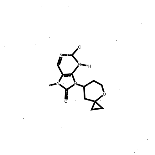 [2H]N1c2c(n(C)c(=O)n2C2CCOC3(CC3)C2)C=NC1Cl